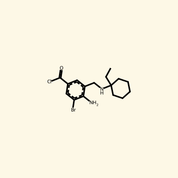 CCC1(NCc2cc(C(=O)Cl)cc(Br)c2N)CCCCC1